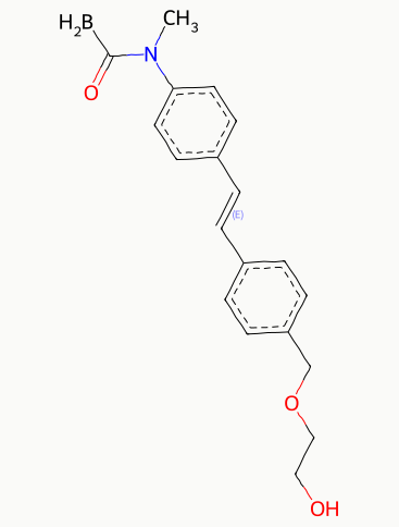 BC(=O)N(C)c1ccc(/C=C/c2ccc(COCCO)cc2)cc1